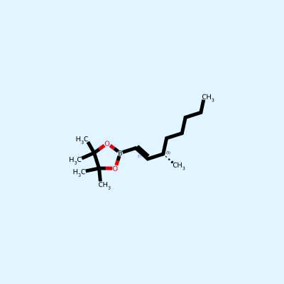 CCCCC[C@H](C)/C=C/B1OC(C)(C)C(C)(C)O1